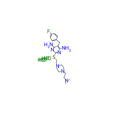 CN(C)CCN1CCN(CCSc2nc(N)c(Cc3ccc(F)cc3)c(N)n2)CC1.Cl.Cl.Cl.Cl